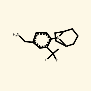 NCc1ccc(N2C3CCCC2CC3)c(C(F)(F)F)c1